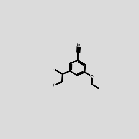 [CH2]C(CF)c1cc(C#N)cc(OCC)c1